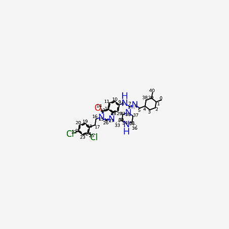 CC1CCC(C/N=C(/Nc2ccc3c(=O)n(CCc4ccc(Cl)cc4Cl)cnc3c2)N2C[C@@H](C)N[C@@H](C)C2)CC1C